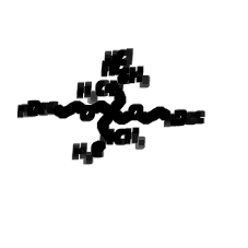 CCCCCCCCCCCCOCC(COCCCCCCCCCCCC)(CN(C)C)CN(C)C.Cl.Cl